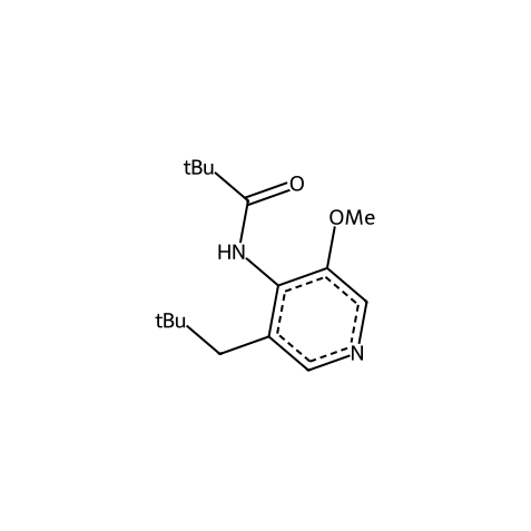 COc1cncc(CC(C)(C)C)c1NC(=O)C(C)(C)C